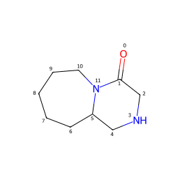 O=C1CNCC2CCCCCN12